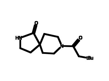 CC(C)(C)CC(=O)N1CCC2(CCNC2=O)CC1